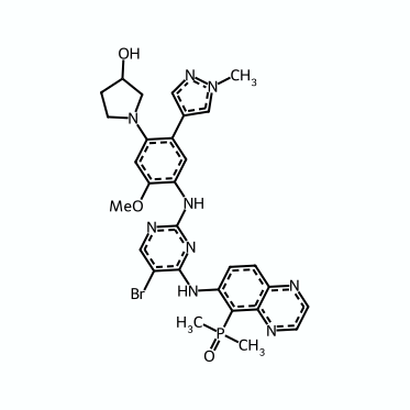 COc1cc(N2CCC(O)C2)c(-c2cnn(C)c2)cc1Nc1ncc(Br)c(Nc2ccc3nccnc3c2P(C)(C)=O)n1